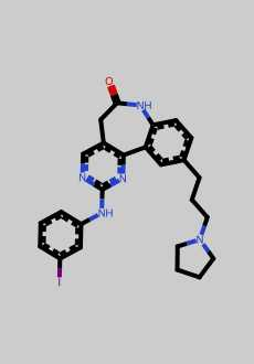 O=C1Cc2cnc(Nc3cccc(I)c3)nc2-c2cc(CCCN3CCCC3)ccc2N1